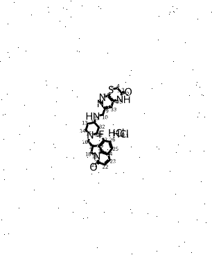 Cl.Cl.O=C1CSc2nnc(CNC3CCN(CC4Cn5c(=O)ccc6ccc(F)c4c65)CC3)cc2N1